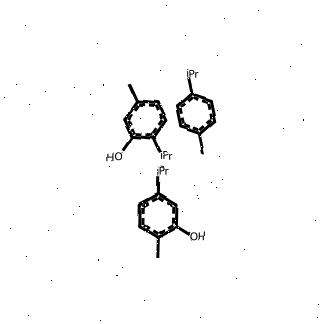 Cc1ccc(C(C)C)c(O)c1.Cc1ccc(C(C)C)cc1.Cc1ccc(C(C)C)cc1O